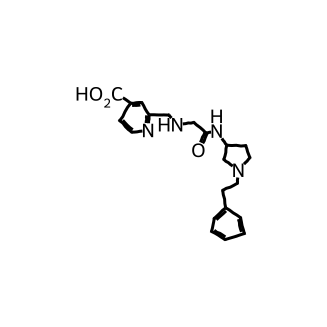 O=C(CNCc1cc(C(=O)O)ccn1)NC1CCN(CCc2ccccc2)C1